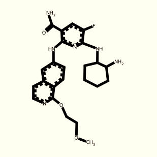 COCCOc1nccc2cc(Nc3nc(NC4CCCCC4N)c(F)cc3C(N)=O)ccc12